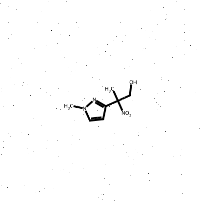 Cn1ccc(C(C)(CO)[N+](=O)[O-])n1